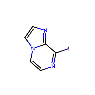 Ic1nccn2ccnc12